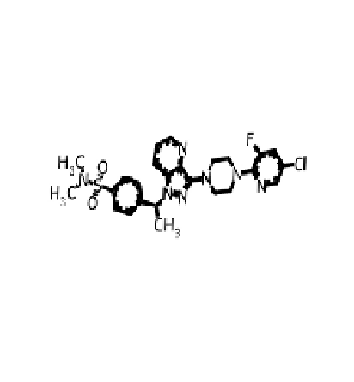 CC(c1ccc(S(=O)(=O)N(C)C)cc1)n1nc(N2CCN(c3ncc(Cl)cc3F)CC2)c2ncccc21